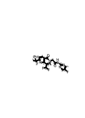 CC(F)(P)c1ccc2c(=O)n(CC(=O)Nc3ncc(F)cn3)nc(C(F)F)c2n1